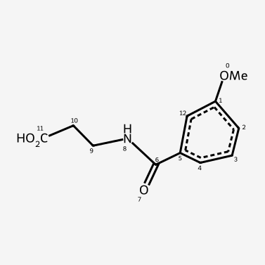 COc1cccc(C(=O)NCCC(=O)O)c1